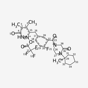 Cc1c(C)c(=O)[nH][n+](OC(=O)C(F)(F)F)c1Cc1ccc(F)c(C(=O)N2CCN(C3(C)CCCCC3)C(=O)C2)c1